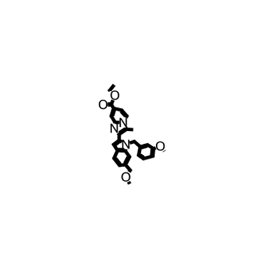 CCOC(=O)c1ccn2c(C)c(-c3cc4ccc(COC)cc4n3Cc3cccc(OC)c3)nc2c1